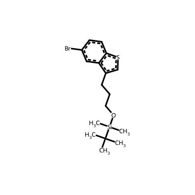 CC(C)(C)[Si](C)(C)OCCCc1csc2ccc(Br)cc12